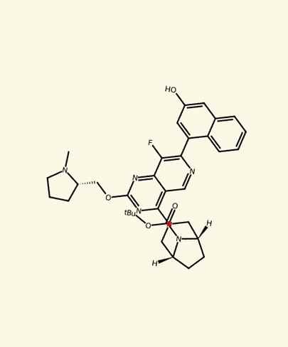 CN1CCC[C@H]1COc1nc(N2C[C@H]3CC[C@@H](C2)N3C(=O)OC(C)(C)C)c2cnc(-c3cc(O)cc4ccccc34)c(F)c2n1